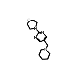 c1nc(N2CCOCC2)ncc1CN1CCCCC1